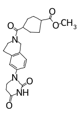 COC(=O)C1CCC(C(=O)N2CCc3cc(N4CCC(=O)NC4=O)ccc3C2)CC1